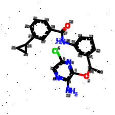 C[C@@H](Oc1nc(Cl)cnc1N)c1cccc(NC(=O)c2cccc(C3CC3)c2)c1